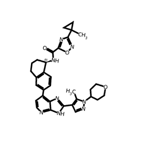 Cc1c(-c2nc3c(-c4ccc5c(c4)CCC[C@H]5NC(=O)c4nc(C5(C)CC5)no4)ccnc3[nH]2)cnn1C1CCOCC1